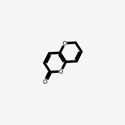 O=c1ccc2c(o1)C=CCO2